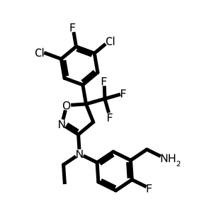 CCN(C1=NOC(c2cc(Cl)c(F)c(Cl)c2)(C(F)(F)F)C1)c1ccc(F)c(CN)c1